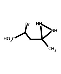 CC1(CC(Br)C(=O)O)NN1